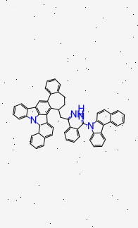 N=C(CC1CCc2ccccc2-c2cc3c4ccccc4n4c3c(c21)C1=CC=C2C=CC=CC2C14)c1ccccc1C(=N)n1c2ccccc2c2c3ccccc3ccc21